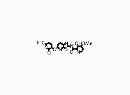 COc1ccnc(C(=O)Nc2nc3ccc(Oc4ccc(C(F)(F)F)nc4Cl)nc3s2)c1O